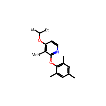 CCC(CC)Oc1ccnc(Oc2c(C)cc(C)cc2C)c1NC